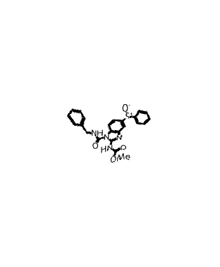 COC(=O)Nc1nc2cc([S+]([O-])c3ccccc3)ccc2n1C(=O)NCc1ccccc1